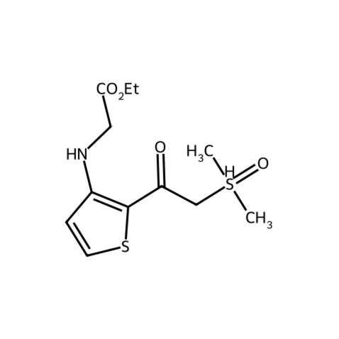 CCOC(=O)CNc1ccsc1C(=O)C[SH](C)(C)=O